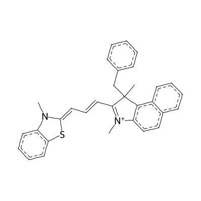 CN1/C(=C/C=C/C2=[N+](C)c3ccc4ccccc4c3C2(C)Cc2ccccc2)Sc2ccccc21